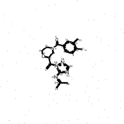 C=C(C1CN(C(=O)c2ccc(F)c(C)c2)CCO1)n1ncnc1N=C(C)C